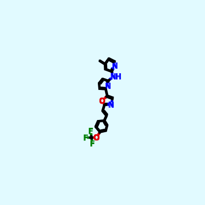 Cc1ccnc(Nc2cccc(-c3cnc(/C=C/c4ccc(OC(F)(F)F)cc4)o3)n2)c1